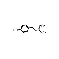 CCCN(CCC)CCc1ccc(O)cc1